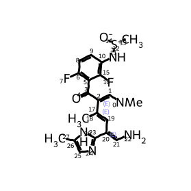 CN\C=C(C(=O)c1c(F)ccc(N[S+](C)[O-])c1F)/C(C)=C/C(=C\N)c1ncc(C)[nH]1